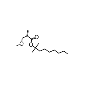 C=C(COC)C(=O)OC(C)(C)CCCCCCC